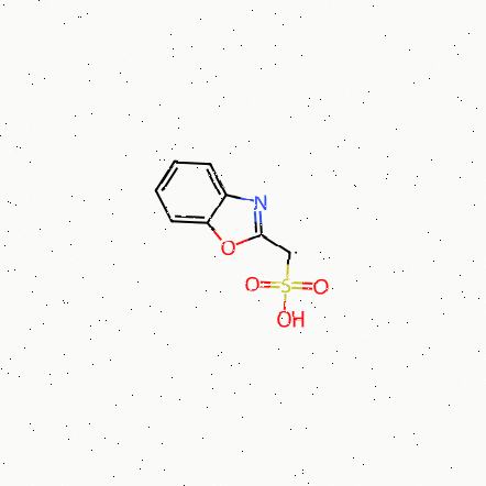 O=S(=O)(O)[CH]c1nc2ccccc2o1